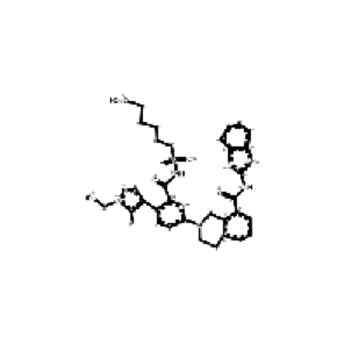 Cc1c(-c2ccc(N3CCc4cccc(C(=O)Nc5nc6ccccc6s5)c4C3)nc2C(=O)NS(=O)(=O)CCCCCC(=O)O)cnn1CC(C)(C)C